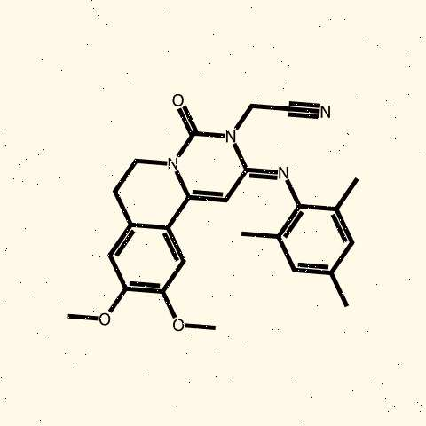 COc1cc2c(cc1OC)-c1cc(=Nc3c(C)cc(C)cc3C)n(CC#N)c(=O)n1CC2